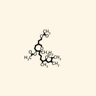 C=C(CC(=O)C(C)CCC[C@]1(C)OCC(CCOC(C)=O)CC[C@H]1OC(C)=O)C(C)C